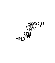 O=C1N2C[C@H](CC[C@H]2c2nnc([C@@H]3CCNC3)o2)N1OS(=O)(=O)O